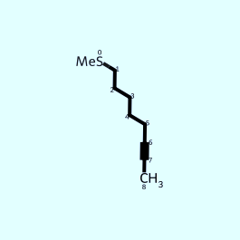 [CH2]SCCCCCC#CC